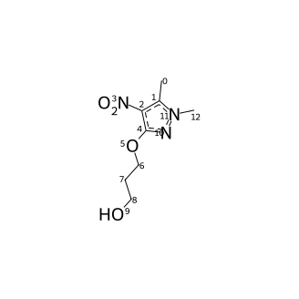 Cc1c([N+](=O)[O-])c(OCCCO)nn1C